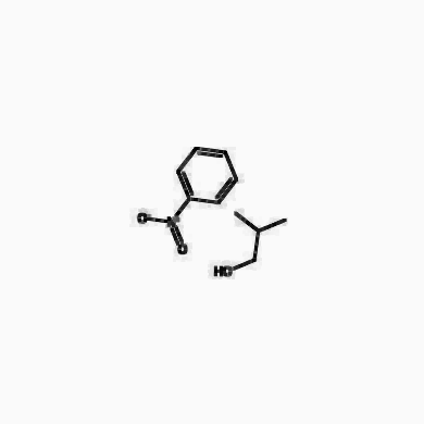 CC(C)CO.O=[N+]([O-])c1ccccc1